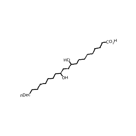 CCCCCCCCCCCCCCCCCC(O)CCC(O)CCCCCCCCC(=O)O